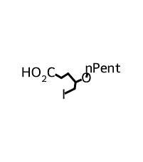 CCCCCOC(CI)CCC(=O)O